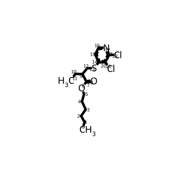 CCCCCCOC(=O)C(CC)CSc1ccnc(Cl)c1Cl